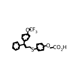 O=C(O)COc1ccc(SCC=C(c2ccccc2)c2ccc(OC(F)(F)F)cc2)cc1